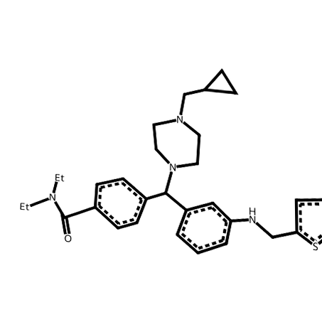 CCN(CC)C(=O)c1ccc(C(c2cccc(NCc3cccs3)c2)N2CCN(CC3CC3)CC2)cc1